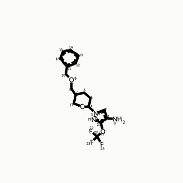 Nc1cn(C2CCC(COCc3ccccc3)CC2)nc1OC(F)(F)F